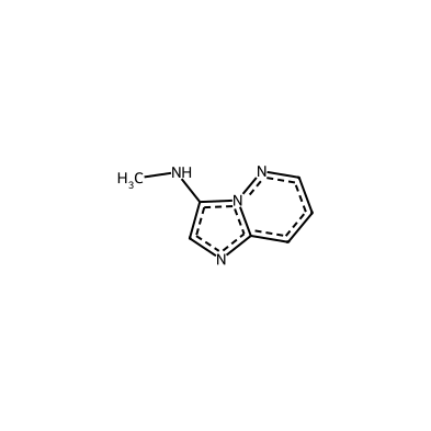 CNc1cnc2cccnn12